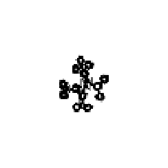 c1ccc(-c2cc(-c3ccccc3)cc(-c3nc(-c4ccc([Si](c5ccccc5)(c5ccccc5)c5ccccc5)cc4)nc(-n4c5ccc(-n6c7ccccc7c7ccccc76)cc5c5cc(-n6c7ccccc7c7ccccc76)ccc54)n3)c2)cc1